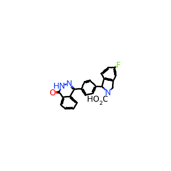 O=C(O)N1Cc2cc(F)ccc2C1c1ccc(-c2n[nH]c(=O)c3ccccc23)cc1